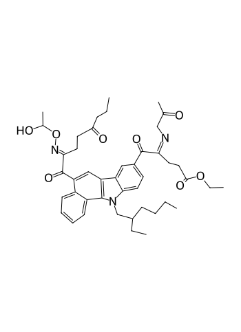 CCCCC(CC)Cn1c2ccc(C(=O)/C(CCC(=O)OCC)=N\CC(C)=O)cc2c2cc(C(=O)/C(CCC(=O)CCC)=N/OC(C)O)c3ccccc3c21